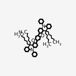 CCCCCCC1(CCCCCC)c2ccccc2N(c2ccccc2)c2ccc3c(oc4cc5c(cc43)oc3c4c(ccc35)N(c3ccccc3)c3ccccc3C4(CCCCCC)CCCCCC)c21